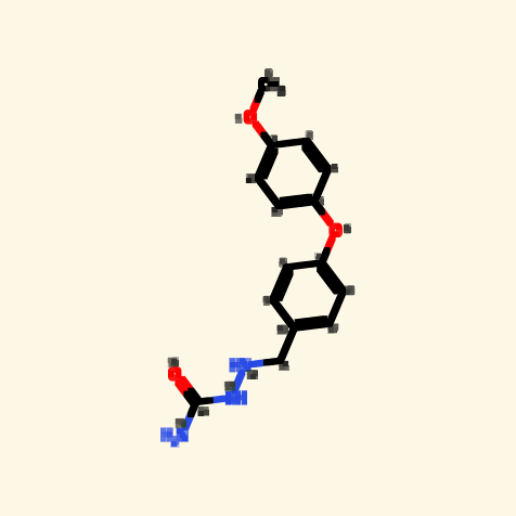 COc1ccc(Oc2ccc(CNNC(N)=O)cc2)cc1